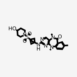 Cc1ccc2c(c1)C(=O)N(C)c1cnc(NC34CC(S(=O)(=O)N5CCC(O)CC5)(C3)C4)nc1N2C